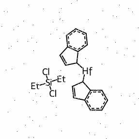 C1=C[CH]([Hf][CH]2C=Cc3ccccc32)c2ccccc21.CC[Si](Cl)(Cl)CC